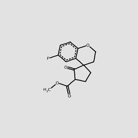 COC(=O)C1CCC2(CCOc3ccc(F)cc32)C1=O